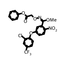 COC(=NOCC(=O)Oc1ccccc1)c1cc(Oc2ccc(C(F)(F)F)cc2Cl)ccc1[N+](=O)[O-]